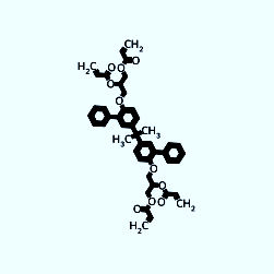 C=CC(=O)OCC(COc1ccc(C(C)(C)c2ccc(OCC(COC(=O)C=C)OC(=O)C=C)c(-c3ccccc3)c2)cc1-c1ccccc1)OC(=O)C=C